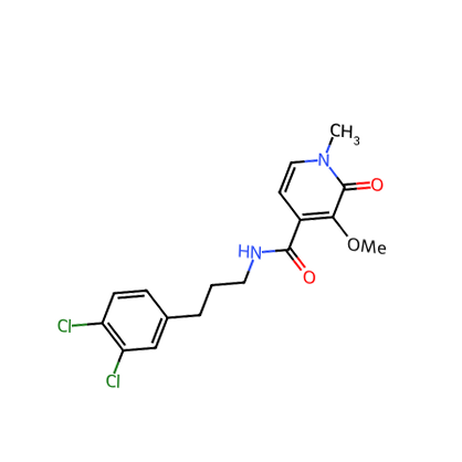 COc1c(C(=O)NCCCc2ccc(Cl)c(Cl)c2)ccn(C)c1=O